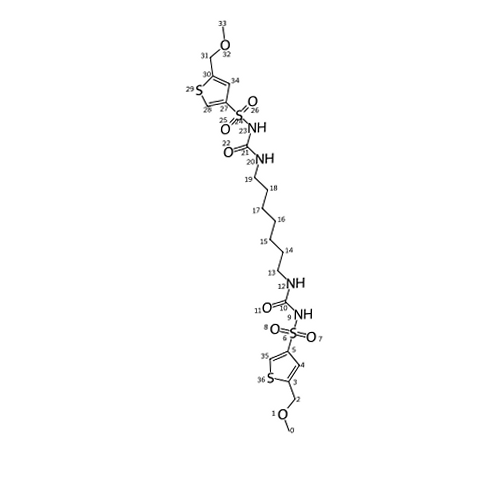 COCc1cc(S(=O)(=O)NC(=O)NCCCCCCCNC(=O)NS(=O)(=O)c2csc(COC)c2)cs1